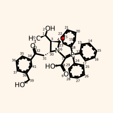 C[C@@H](O)[C@H]1C(=O)N(C(C(=O)O)=P(c2ccccc2)(c2ccccc2)c2ccccc2)[C@@H]1CC(=O)c1cccc(CO)c1